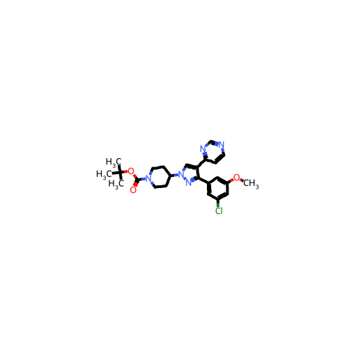 COc1cc(Cl)cc(-c2nn(C3CCN(C(=O)OC(C)(C)C)CC3)cc2-c2ccncn2)c1